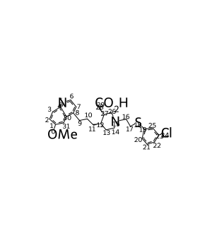 COc1ccc2nccc(CCC[C@@H]3CCN(CCSc4cccc(Cl)c4)C[C@@H]3CC(=O)O)c2c1